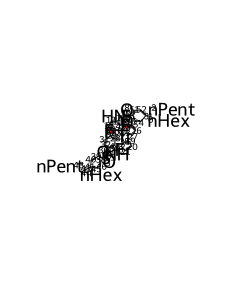 CCCCCCC(CCCCC)c1ccc(S(=O)(=O)Nc2ccc(F)[c]([Ti]([C]3=CC=CC3)([C]3=CC=CC3)[c]3c(F)ccc(NS(=O)(=O)c4ccc(C(CCCCC)CCCCCC)cc4)c3F)c2F)cc1